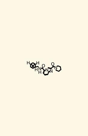 CC1(C)[C@H]2CC[C@@H](CNC(=O)c3cccc4nc(C(=O)N5CCCCC5)cn34)[C@H]1C2